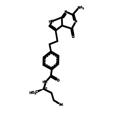 CC(=O)CC[C@H](NC(=O)c1ccc(CCC2=CNC3=NC(N)=NC(=O)C23)cc1)C(=O)O